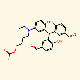 CCN(CCCCOC(C)=O)c1cccc(C(c2cc(C=O)ccc2O)c2cc(C=O)ccc2O)c1